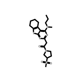 CCCN(C)c1nc(CC(=O)N2CCC(S(C)(=O)=O)C2)nc2sc3c(c12)CCCC3